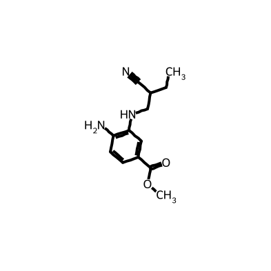 CCC(C#N)CNc1cc(C(=O)OC)ccc1N